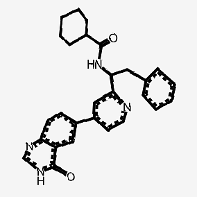 O=C(NC(Cc1ccccc1)c1cc(-c2ccc3nc[nH]c(=O)c3c2)ccn1)C1CCCCC1